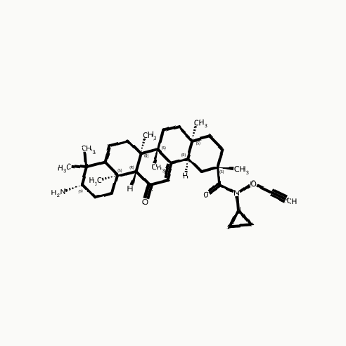 C#CON(C(=O)[C@@]1(C)CC[C@]2(C)CC[C@]3(C)C(=CC(=O)[C@@H]4[C@@]5(C)CC[C@H](N)C(C)(C)C5CC[C@]43C)[C@@H]2C1)C1CC1